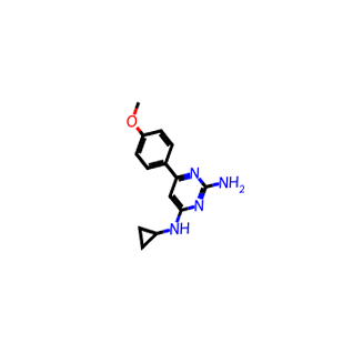 COc1ccc(-c2cc(NC3CC3)nc(N)n2)cc1